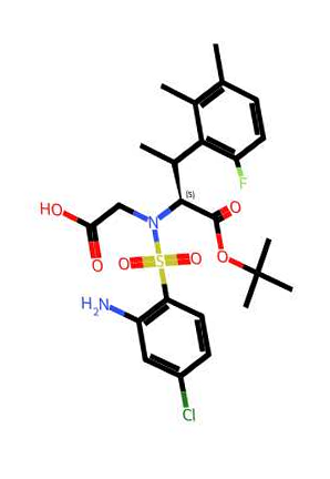 Cc1ccc(F)c(C(C)[C@@H](C(=O)OC(C)(C)C)N(CC(=O)O)S(=O)(=O)c2ccc(Cl)cc2N)c1C